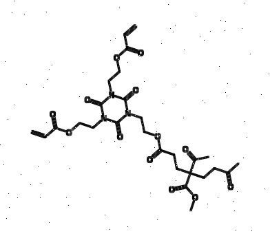 C=CC(=O)OCCn1c(=O)n(CCOC(=O)C=C)c(=O)n(CCOC(=O)CCC(CCC(C)=O)(C(C)=O)C(=O)OC)c1=O